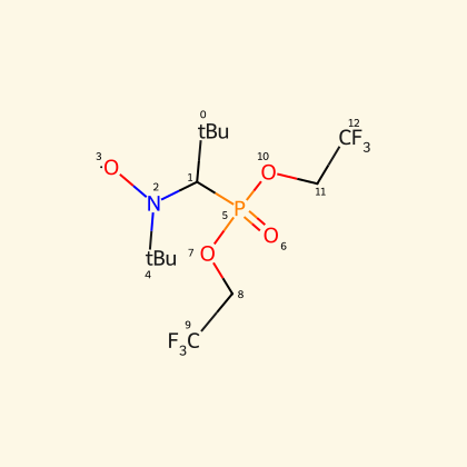 CC(C)(C)C(N([O])C(C)(C)C)P(=O)(OCC(F)(F)F)OCC(F)(F)F